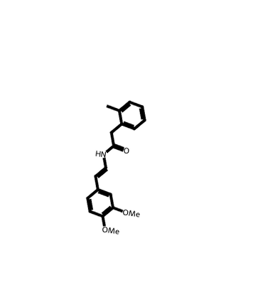 COc1ccc(C=CNC(=O)Cc2ccccc2C)cc1OC